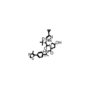 CCC(C)(C)[C@@H](C(=O)N1C[C@H](O)C[C@H]1C(=O)N[C@@H](C)c1ccc(-c2scnc2C)cc1)n1cc(C2CC2)nn1